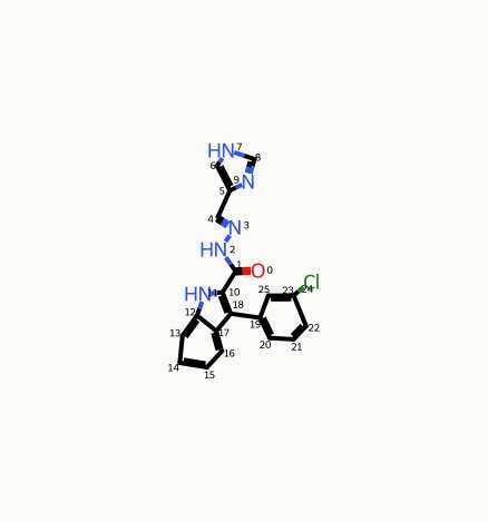 O=C(NN=Cc1c[nH]cn1)c1[nH]c2ccccc2c1-c1cccc(Cl)c1